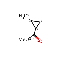 COC(=O)[C@@H]1C[C@H]1C